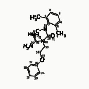 Cc1cccc(C)c1N(C)C(=O)N(CCOc1ccccc1)C(=N)N